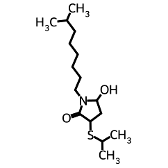 CC(C)CCCCCCN1C(=O)C(SC(C)C)CC1O